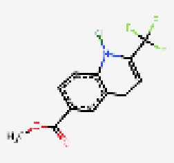 COC(=O)c1ccc2c(c1)CC=C(C(F)(F)F)N2Cl